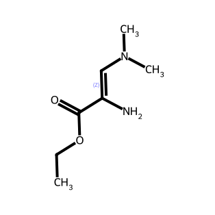 CCOC(=O)/C(N)=C/N(C)C